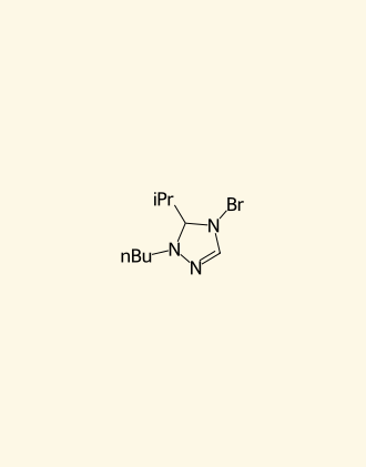 CCCCN1N=CN(Br)C1C(C)C